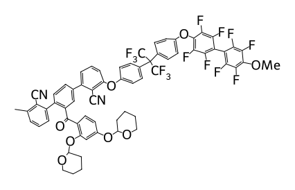 COc1c(F)c(F)c(-c2c(F)c(F)c(Oc3ccc(C(c4ccc(Oc5cccc(-c6ccc(-c7cccc(C)c7C#N)c(C(=O)c7ccc(OC8CCCCO8)cc7OC7CCCCO7)c6)c5C#N)cc4)(C(F)(F)F)C(F)(F)F)cc3)c(F)c2F)c(F)c1F